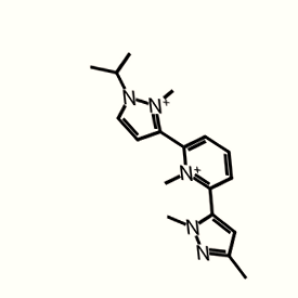 Cc1cc(-c2cccc(-c3ccn(C(C)C)[n+]3C)[n+]2C)n(C)n1